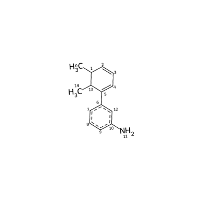 CC1C=CC=C(c2cccc(N)c2)C1C